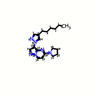 CCCCCCc1cnn(-c2cnn3ccc(N4CCCC4)nc23)c1